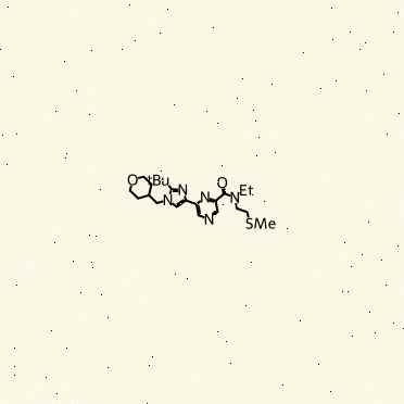 CCN(CCSC)C(=O)c1cncc(-c2cn(CC3CCOCC3)c(C(C)(C)C)n2)n1